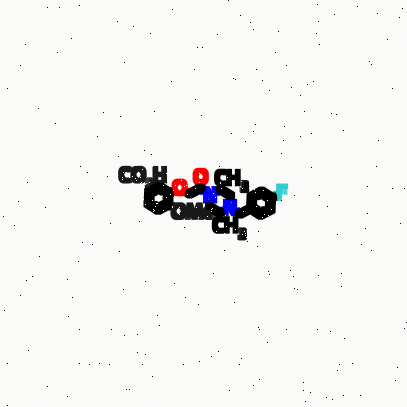 COc1cccc(C(=O)O)c1OCC(=O)N1C[C@H](C)N(Cc2ccc(F)cc2)C[C@H]1C